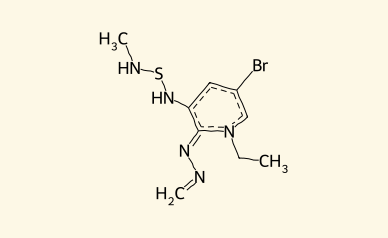 C=N/N=c1/c(NSNC)cc(Br)cn1CC